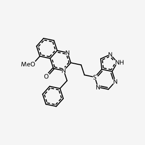 COc1cccc2nc(CCS3=c4cn[nH]c4=NC=N3)n(Cc3ccccc3)c(=O)c12